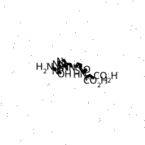 Nc1nc(O)c2nc(CNc3ccc(C(=O)N[C@@H](CCC(=O)O)C(=O)O)s3)cnc2n1